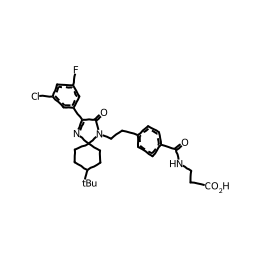 CC(C)(C)C1CCC2(CC1)N=C(c1cc(F)cc(Cl)c1)C(=O)N2CCc1ccc(C(=O)NCCC(=O)O)cc1